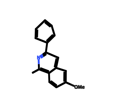 COc1ccc2c(C)nc(-c3ccccc3)cc2c1